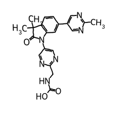 Cc1ncc(-c2ccc3c(c2)N(c2cnc(CNC(=O)O)nc2)C(=O)C3(C)C)cn1